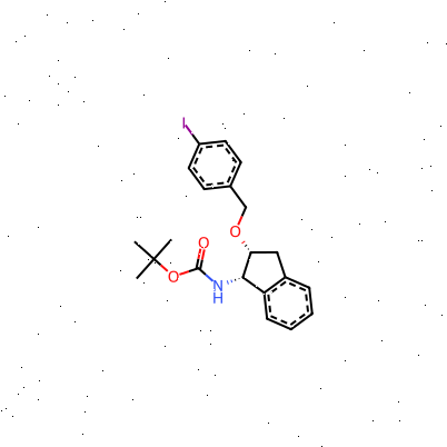 CC(C)(C)OC(=O)N[C@H]1c2ccccc2C[C@H]1OCc1ccc(I)cc1